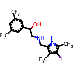 Cc1[nH]c(CNCC(O)c2cc(C(F)(F)F)cc(C(F)(F)F)c2)c(C(F)(F)F)c1I